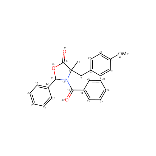 COc1ccc(CC2(C)C(=O)OC(c3ccccc3)N2C(=O)c2ccccc2)cc1